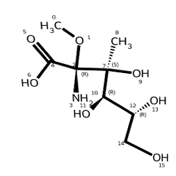 CO[C@@](N)(C(=O)O)[C@@](C)(O)[C@H](O)[C@H](O)CO